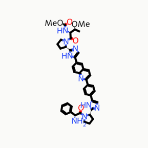 COC(=O)N[C@H](C(=O)N1CCC[C@H]1c1ncc(-c2ccc3nc(-c4ccc(-c5cnc([C@@H]6CCCN6C(=O)[C@H](N)c6ccccc6)[nH]5)cc4)ccc3c2)[nH]1)[C@@H](C)OC